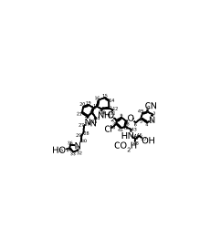 N#Cc1cncc(COc2cc(OCc3cccc(-c4cccc5c4cnn5CCCCN4CC[C@@H](O)C4)c3N)c(Cl)cc2CNC(CO)C(=O)O)c1